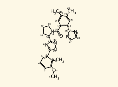 COc1cccc(-c2nc(C3CCCN3C(=O)c3cc(C)c(C)cc3-n3nccn3)no2)c1C